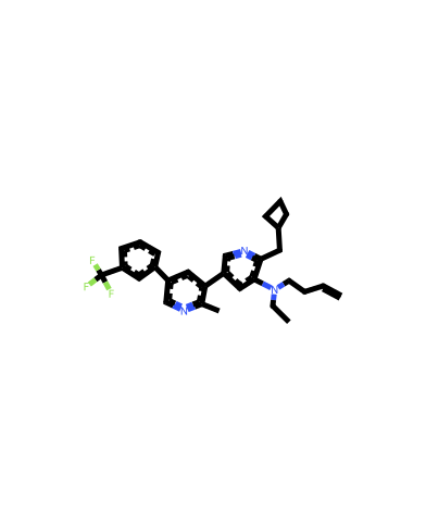 C=CCCN(CC)c1cc(-c2cc(-c3cccc(C(F)(F)F)c3)cnc2C)cnc1CC1CCC1